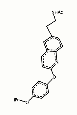 CC(=O)NCCc1ccc2nc(Oc3ccc(OC(C)C)cc3)ccc2c1